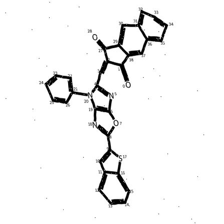 O=C1C(=Cc2nc3oc(-c4cc5ccccc5s4)nc3n2-c2ccccc2)C(=O)c2cc3ccccc3cc21